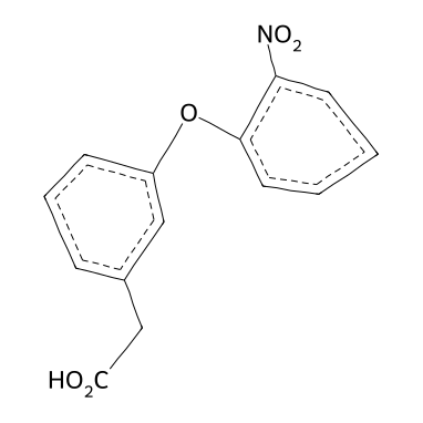 O=C(O)Cc1cccc(Oc2ccccc2[N+](=O)[O-])c1